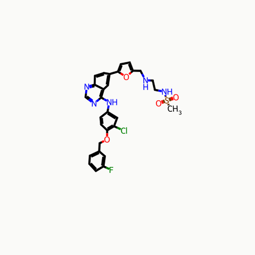 CS(=O)(=O)NCCNCc1ccc(-c2ccc3ncnc(Nc4ccc(OCc5cccc(F)c5)c(Cl)c4)c3c2)o1